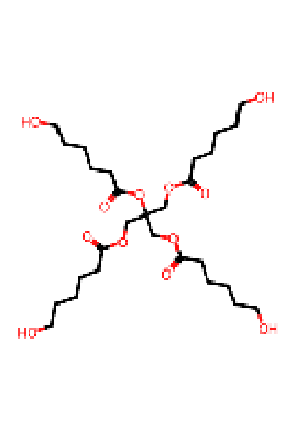 O=C(CCCCCO)OCC(COC(=O)CCCCCO)(COC(=O)CCCCCO)OC(=O)CCCCCO